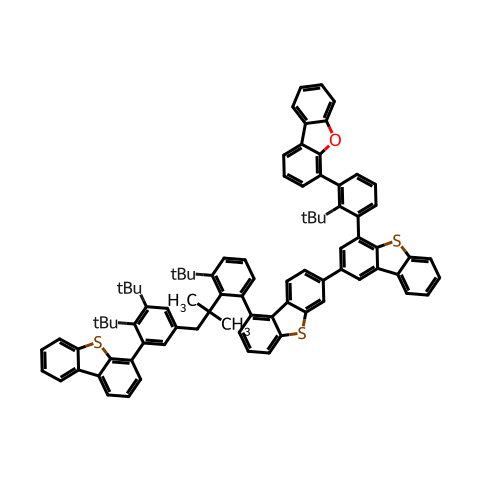 CC(C)(C)c1cc(CC(C)(C)c2c(-c3cccc4sc5cc(-c6cc(-c7cccc(-c8cccc9c8oc8ccccc89)c7C(C)(C)C)c7sc8ccccc8c7c6)ccc5c34)cccc2C(C)(C)C)cc(-c2cccc3c2sc2ccccc23)c1C(C)(C)C